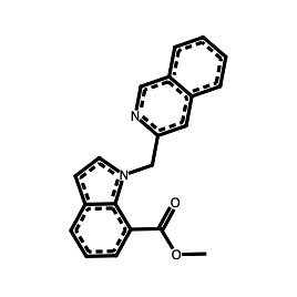 COC(=O)c1cccc2ccn(Cc3cc4ccccc4cn3)c12